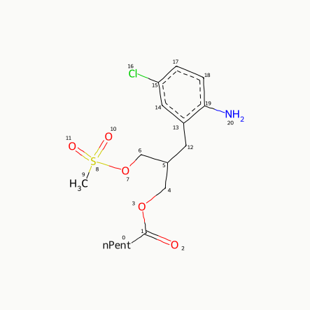 CCCCCC(=O)OCC(COS(C)(=O)=O)Cc1cc(Cl)ccc1N